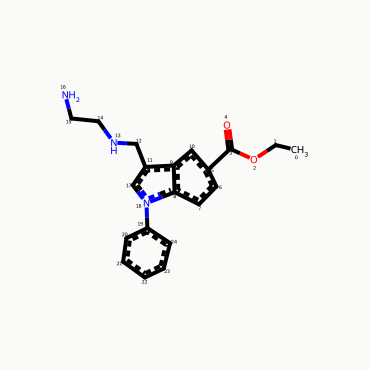 CCOC(=O)c1ccc2c(c1)c(CNCCN)cn2-c1ccccc1